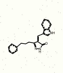 O=C1NN=C(CCCc2ccccc2)/C1=C/c1c[nH]c2ccccc12